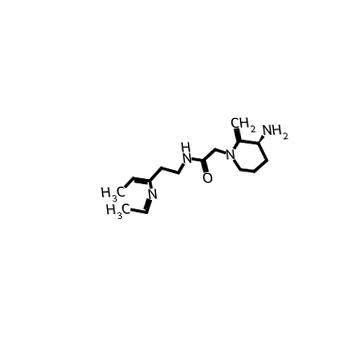 C=C1[C@@H](N)CCCN1CC(=O)NCCC(=C/C)/N=C\C